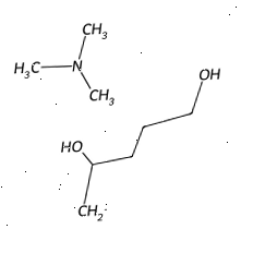 CN(C)C.[CH2]C(O)CCCO